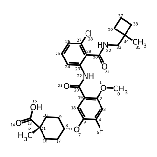 COc1cc(F)c(O[C@H]2CC[C@@](C)(C(=O)O)CC2)cc1C(=O)Nc1cccc(Cl)c1C(=O)NCC1(C)CCC1